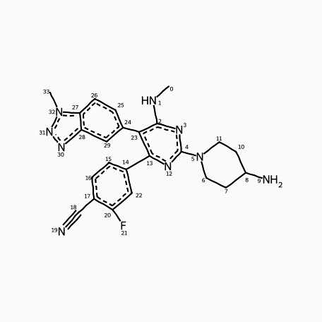 CNc1nc(N2CCC(N)CC2)nc(-c2ccc(C#N)c(F)c2)c1-c1ccc2c(c1)nnn2C